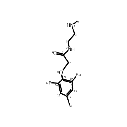 CNCCNC(=O)COc1c(F)cc(C)cc1F